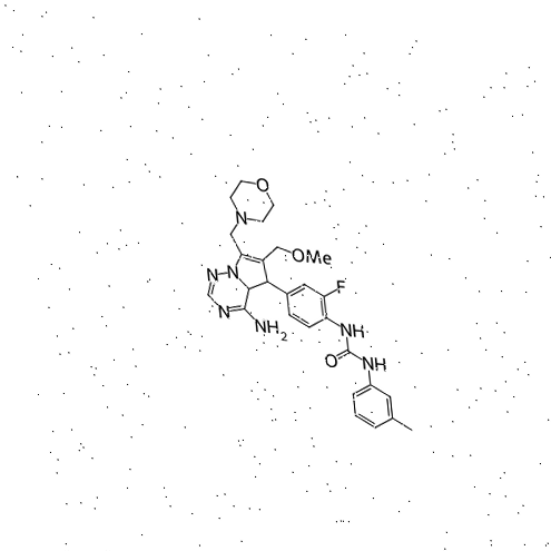 COCC1=C(CN2CCOCC2)N2N=CN=C(N)C2C1c1ccc(NC(=O)Nc2cccc(C)c2)c(F)c1